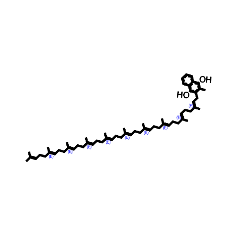 CC(C)=CCC/C(C)=C/CC/C(C)=C/CC/C(C)=C/CC/C(C)=C/CC/C(C)=C/CC/C(C)=C/CC/C(C)=C/CC/C(C)=C/CC/C(C)=C/Cc1c(C)c(O)c2ccccc2c1O